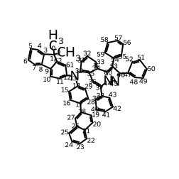 CC1(C)c2ccccc2-c2ccc(N(c3ccc(-c4ccc5ccccc5c4)cc3)c3cccc4c3cc(-c3ccccc3)n3nc(-c5ccccc5)c(-c5ccccc5)c43)cc21